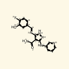 NC(=O)c1c(Nc2cccnc2)n[nH]c1N=Cc1ccc(F)c(O)c1